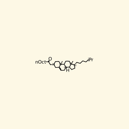 CCCCCCCCC(=O)C[C@H]1CC[C@@]2(C)C(=CC[C@@H]3C2CC[C@@]2(C)C3CC[C@@H]2CCCCC(C)C)C1